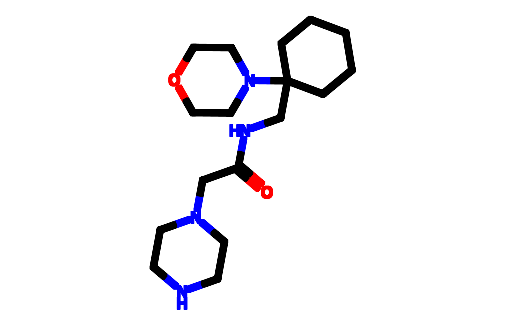 O=C(CN1CCNCC1)NCC1(N2CCOCC2)CCCCC1